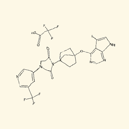 O=C(O)C(F)(F)F.O=C1CN(c2cncc(C(F)(F)F)c2)C(=O)N1C12CCC(Oc3ncnc4[nH]cc(I)c34)(CC1)C2